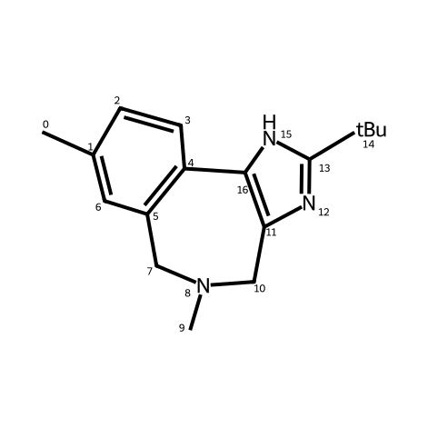 Cc1ccc2c(c1)CN(C)Cc1nc(C(C)(C)C)[nH]c1-2